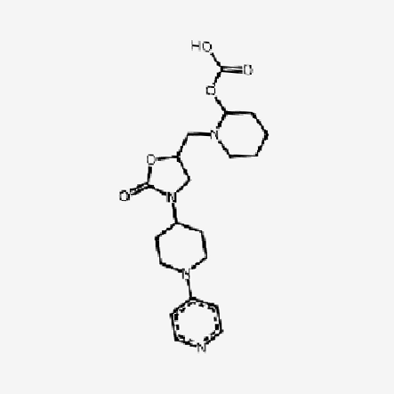 O=C(O)OC1CCCCN1CC1CN(C2CCN(c3ccncc3)CC2)C(=O)O1